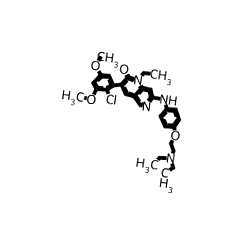 CCN(CC)CCOc1ccc(Nc2cc3c(cn2)cc(-c2cc(OC)cc(OC)c2Cl)c(=O)n3CC)cc1